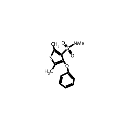 CNS(=O)(=O)c1c(C)sc(C)c1Oc1ccccc1